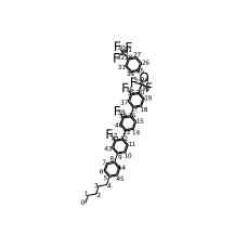 CCCCCc1ccc(-c2ccc(-c3ccc(-c4ccc(C(F)(F)Oc5ccc(C(F)(F)F)cc5)c(F)c4)c(F)c3)c(F)c2)cc1